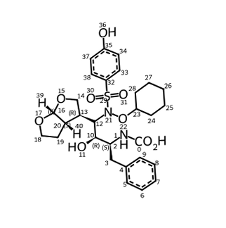 O=C(O)N[C@@H](Cc1ccccc1)[C@@H](O)C([C@@H]1CO[C@H]2OCC[C@H]21)N(OC1CCCCC1)S(=O)(=O)c1ccc(O)cc1